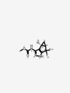 COC(=O)Nc1n[nH]c2c1[C@H]1CC1C2(F)F